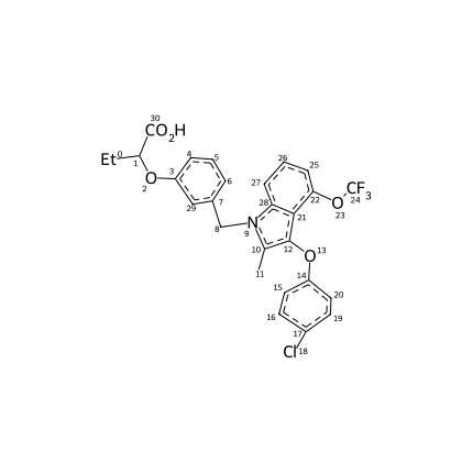 CCC(Oc1cccc(Cn2c(C)c(Oc3ccc(Cl)cc3)c3c(OC(F)(F)F)cccc32)c1)C(=O)O